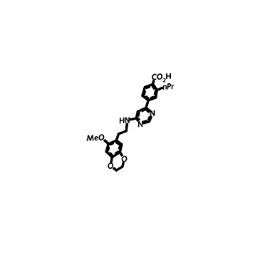 CCCc1cc(-c2cc(NCCc3cc4c(cc3OC)OCCO4)ncn2)ccc1C(=O)O